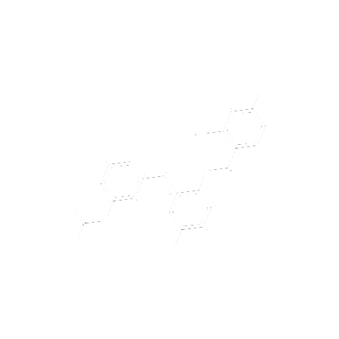 O=C(O)Oc1cccc(Cc2cc(Cl)ccc2OCc2ccc(Cl)cc2F)n1